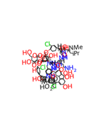 CN[C@H](C(=O)O)C1=CC(O)CC2=C1C1CC(C3NC(=N)[C@@H]4NC(=O)[C@H](CCC(N)=O)NC(=O)[C@H](NC(=O)[C@@H](CC(C)C)NC)[C@H](O)C5=CC(Cl)=C(CC5)Oc5cc4cc(c5O[C@H]4OC(CO)C(O)[C@H](O)[C@@H]4O[C@H]4CC(C)(NCc5ccc(-c6ccc(Cl)cc6)cc5)[C@H](O)[C@H](C)O4)OC4=CC=C(CC4Cl)[C@@H](O)[C@@H](C=O)NC3=O)=CC=C1C2(O)O